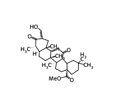 COC(=O)[C@]12CCC(C)(C)CC1C1C(=O)C=C3[C@@]4(C)C/C(=C/O)C(=O)[C@@H](C)[C@@H]4CC[C@@]3(C)[C@]1(C)CC2